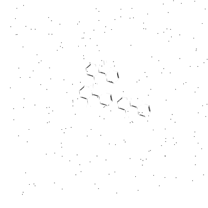 [B+3].[O-]C1=CC=COC1=C1C=CC=CO1.[O-]C1=CC=COC1=C1C=CC=CO1.[O-]C1=CC=COC1=C1C=CC=CO1